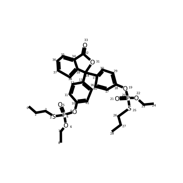 CCCSP(=O)(OCC)Oc1ccc(C2(c3ccc(OP(=O)(OCC)SCCC)cc3)OC(=O)c3ccccc32)cc1